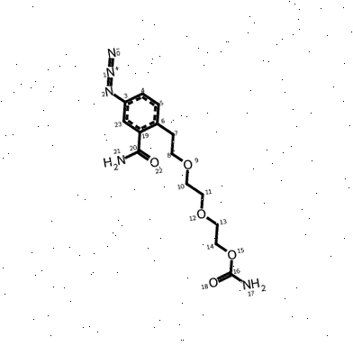 [N-]=[N+]=Nc1ccc(CCOCCOCCOC(N)=O)c(C(N)=O)c1